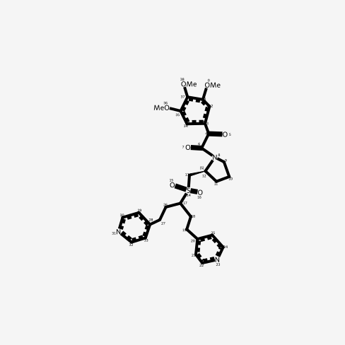 COc1cc(C(=O)C(=O)N2CCC[C@H]2CS(=O)(=O)C(CCc2ccncc2)CCc2ccncc2)cc(OC)c1OC